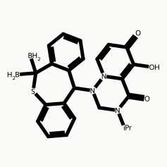 BC1(B)Sc2ccccc2C(N2CN(C(C)C)C(=O)c3c(O)c(=O)ccn32)c2ccccc21